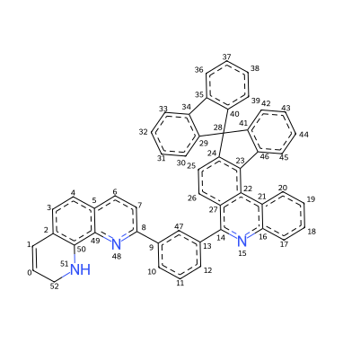 C1=Cc2ccc3ccc(-c4cccc(-c5nc6ccccc6c6c7c(ccc56)C5(c6ccccc6-c6ccccc65)c5ccccc5-7)c4)nc3c2NC1